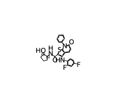 O=C(N[C@H]1CCC[C@@H]1O)c1sc2c(ccc(=O)n2-c2ccccc2)c1Nc1ccc(F)cc1F